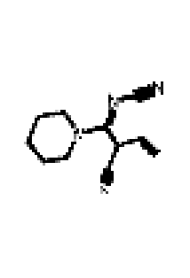 C=CC(C#N)C(=NC#N)N1CCCCC1